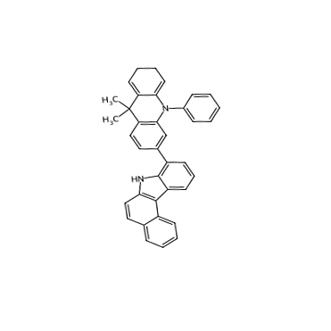 CC1(C)C2=CCCC=C2N(c2ccccc2)c2cc(-c3cccc4c3[nH]c3ccc5ccccc5c34)ccc21